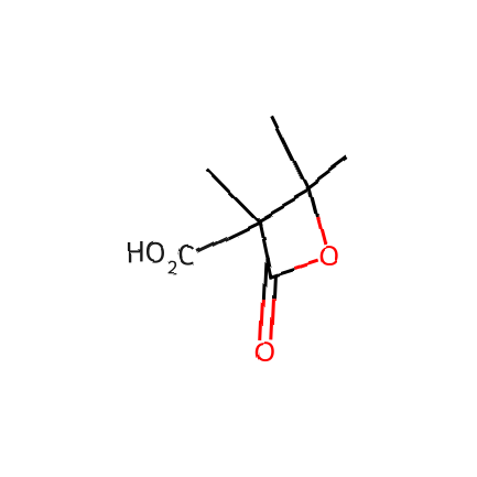 CC1(C)OC(=O)C1(C)C(=O)O